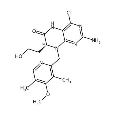 COc1c(C)cnc(CN2c3nc(N)nc(Cl)c3NC(=O)[C@@H]2CCO)c1C